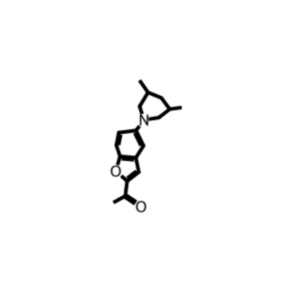 CC(=O)c1cc2cc(N3CC(C)CC(C)C3)ccc2o1